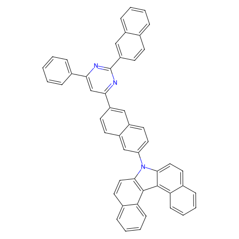 c1ccc(-c2cc(-c3ccc4cc(-n5c6ccc7ccccc7c6c6c7ccccc7ccc65)ccc4c3)nc(-c3ccc4ccccc4c3)n2)cc1